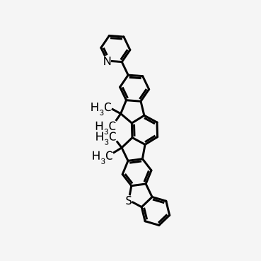 CC1(C)c2cc(-c3ccccn3)ccc2-c2ccc3c(c21)C(C)(C)c1cc2sc4ccccc4c2cc1-3